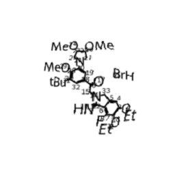 Br.CCOc1cc2c(c(F)c1OCC)C(=N)N(CC(=O)c1cc(N3C[C@H](OC)[C@@H](OC)C3)c(OC)c(C(C)(C)C)c1)C2